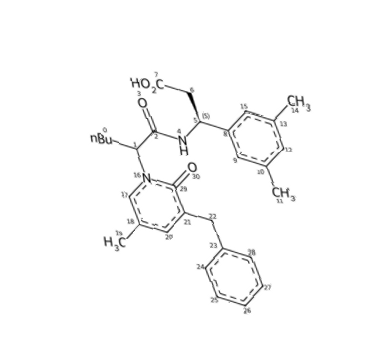 CCCCC(C(=O)N[C@@H](CC(=O)O)c1cc(C)cc(C)c1)n1cc(C)cc(Cc2ccccc2)c1=O